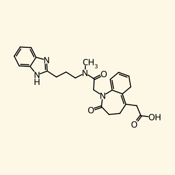 CN(CCCc1nc2ccccc2[nH]1)C(=O)CN1C(=O)CCC(CC(=O)O)=C2CC=CC=C21